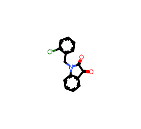 O=C1C(=O)N(Cc2ccccc2Cl)c2ccccc21